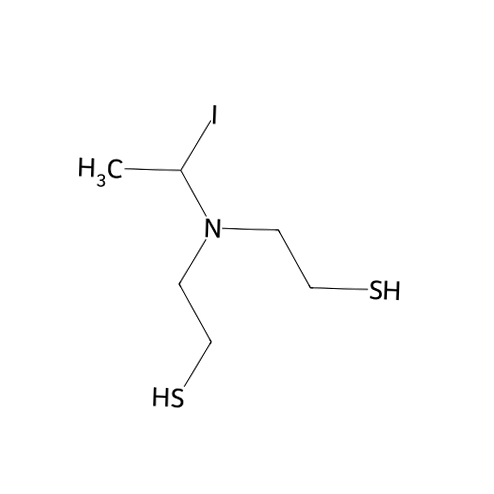 CC(I)N(CCS)CCS